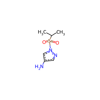 CC(C)S(=O)(=O)n1cc(N)cn1